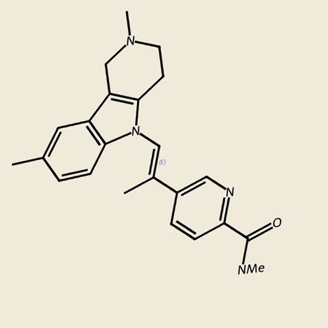 CNC(=O)c1ccc(/C(C)=C/n2c3c(c4cc(C)ccc42)CN(C)CC3)cn1